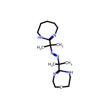 CC(C)(N=NC(C)(C)/C1=N/CCCCCN1)/C1=N/CCCCCN1